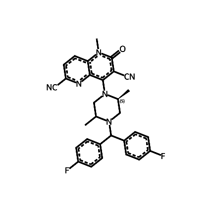 CC1CN(c2c(C#N)c(=O)n(C)c3ccc(C#N)nc23)[C@@H](C)CN1C(c1ccc(F)cc1)c1ccc(F)cc1